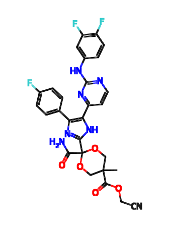 CC1(C(=O)OCC#N)COC(C(N)=O)(c2nc(-c3ccc(F)cc3)c(-c3ccnc(Nc4ccc(F)c(F)c4)n3)[nH]2)OC1